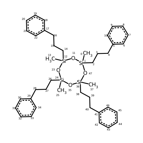 C[Si]1(CCCc2ccccc2)O[Si](C)(CCCc2ccccc2)O[Si](C)(CCCc2ccccc2)O[Si](C)(CCCc2ccccc2)O1